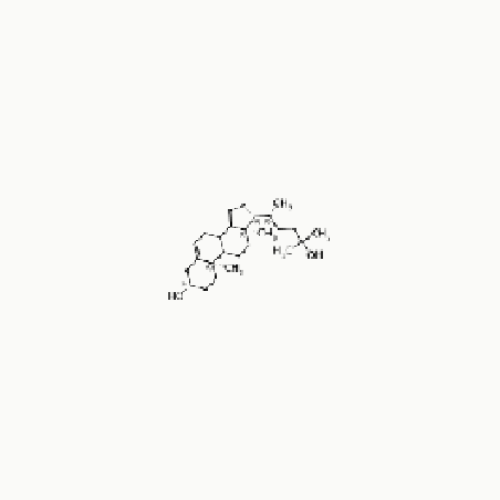 C[C@H](CCC(C)(C)O)[C@H]1CCC2C3CC=C4C[C@@H](O)CC[C@]4(C)C3CC[C@@]21C